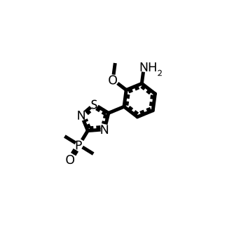 COc1c(N)cccc1-c1nc(P(C)(C)=O)ns1